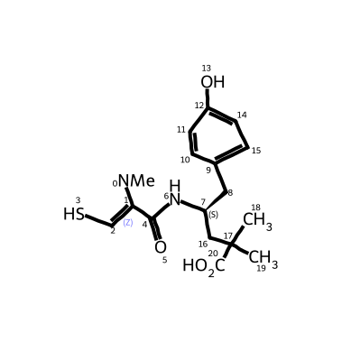 CN/C(=C\S)C(=O)N[C@@H](Cc1ccc(O)cc1)CC(C)(C)C(=O)O